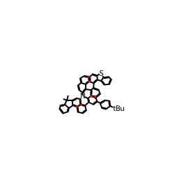 CC(C)(C)c1ccc(-c2ccc(N(c3ccc4c(c3)C(C)(C)c3ccccc3-4)c3ccc4ccccc4c3-c3ccccc3-c3cccc4sc5ccccc5c34)c(-c3ccccc3)c2)cc1